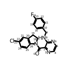 O=C(c1nccnc1NCc1ccc(F)cc1)N1CCc2cc(Cl)ccc21